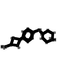 CC1OC(c2ccc(OC3CCNCC3)cc2)O1